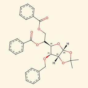 CC1(C)O[C@H]2O[C@H](C(COC(=O)c3ccccc3)OC(=O)c3ccccc3)[C@H](OCc3ccccc3)[C@H]2O1